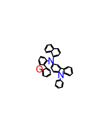 c1ccc(-n2c3ccccc3c3cc(N(c4cccc5ccccc45)c4cccc5oc6ccccc6c45)ccc32)cc1